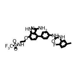 Cc1ccc(F)c(NC(=O)Nc2ccc(-c3ccc(OCCNS(=O)(=O)C(F)(F)F)c4[nH]nc(N)c34)cc2)c1